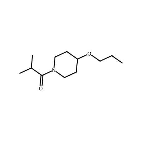 CCCOC1CCN(C(=O)C(C)C)CC1